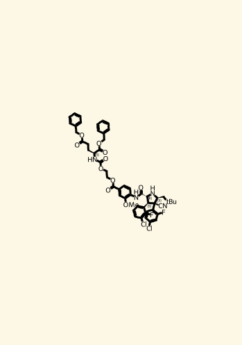 COc1cc(C(=O)OCCOC(=O)N[C@@H](CCC(=O)OCc2ccccc2)C(=O)OCc2ccccc2)ccc1NC(=O)[C@@H]1N[C@@H](CC(C)(C)C)[C@](C#N)(c2ccc(Cl)cc2F)[C@H]1c1cccc(Cl)c1F